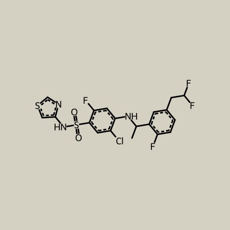 CC(Nc1cc(F)c(S(=O)(=O)Nc2cscn2)cc1Cl)c1cc(CC(F)F)ccc1F